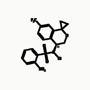 CCN([C@@H]1COC2(CC2)c2cc(C(F)(F)F)ccc21)S(=O)(=O)c1ccccc1[N+](=O)[O-]